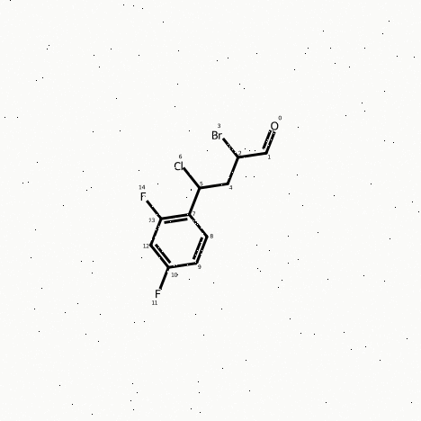 O=CC(Br)CC(Cl)c1ccc(F)cc1F